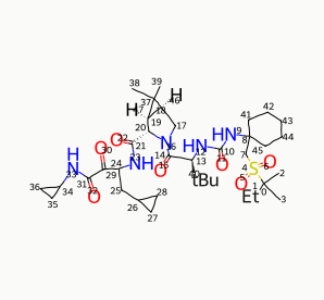 CCC(C)(C)S(=O)(=O)CC1(NC(=O)N[C@H](C(=O)N2C[C@H]3[C@@H]([C@H]2C(=O)NC(CC2CC2)C(=O)C(=O)NC2CC2)C3(C)C)C(C)(C)C)CCCCC1